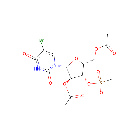 CC(=O)OC[C@H]1O[C@@H](n2cc(Br)c(=O)[nH]c2=O)[C@H](OC(C)=O)[C@H]1OS(C)(=O)=O